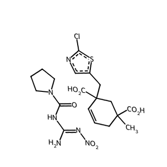 CC1(C(=O)O)CC=CC(Cc2cnc(Cl)s2)(C(=O)O)C1.NC(=N[N+](=O)[O-])NC(=O)N1CCCC1